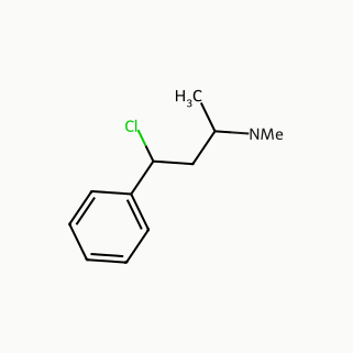 CNC(C)CC(Cl)c1ccccc1